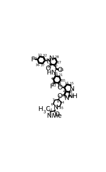 CNC(C)C(=O)N1CCC(Oc2n[nH]c3nccc(Oc4ccc(NC(=O)c5ccnn(-c6ccc(F)cc6)c5=O)cc4F)c23)CC1